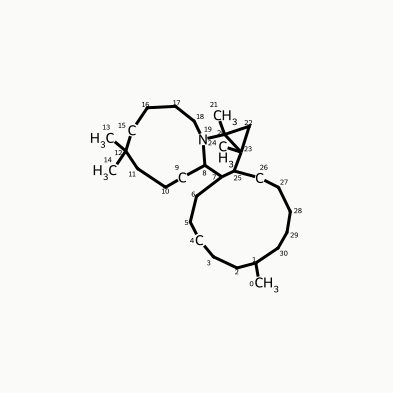 CC1CCCCCC2C3CCCC(C)(C)CCCCN3C3(C)CC3(C)C2CCCCC1